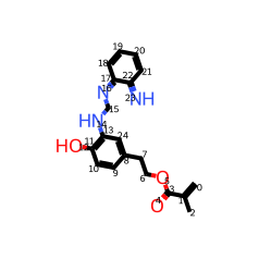 C=C(C)C(=O)OCCc1ccc(O)c(NC/N=C2/C=CC=CC2=N)c1